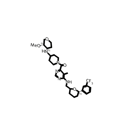 CO[C@@H]1COCC[C@@H]1NC1CCN(C(=O)c2ncnc(NCC3CCC[C@@H](c4cccc(C(F)(F)F)c4)O3)c2C)CC1